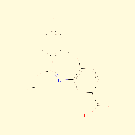 CCCC1=Nc2cc(C(=O)O)ccc2Oc2cc(C)ccc21